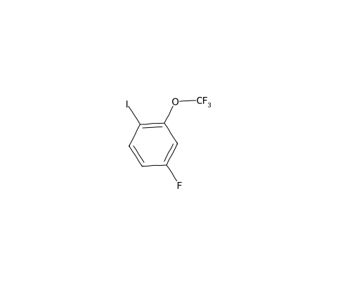 Fc1ccc(I)c(OC(F)(F)F)c1